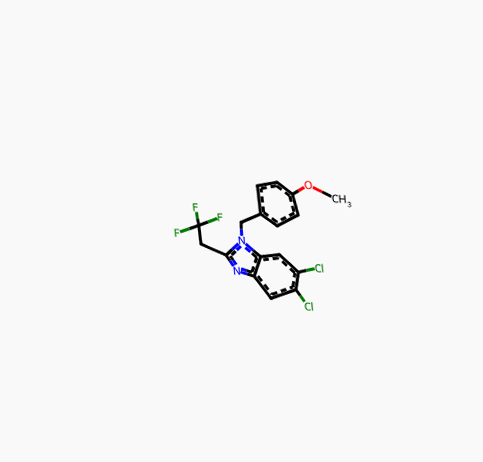 COc1ccc(Cn2c(CC(F)(F)F)nc3cc(Cl)c(Cl)cc32)cc1